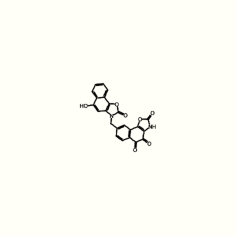 O=C1C(=O)c2[nH]c(=O)oc2-c2cc(Cn3c(=O)oc4c5ccccc5c(O)cc43)ccc21